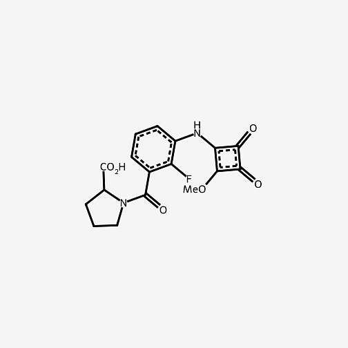 COc1c(Nc2cccc(C(=O)N3CCCC3C(=O)O)c2F)c(=O)c1=O